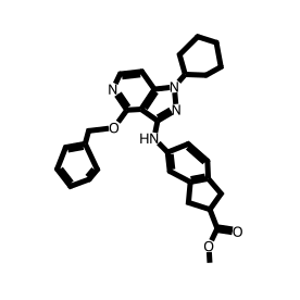 COC(=O)C1Cc2ccc(Nc3nn(C4CCCCC4)c4ccnc(OCc5ccccc5)c34)cc2C1